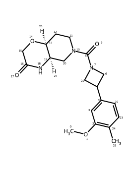 COc1cc(C2CN(C(=O)N3CC[C@@H]4OCC(=O)N[C@@H]4C3)C2)ccc1C